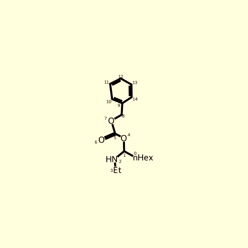 CCCCCCC(NCC)OC(=O)OCc1ccccc1